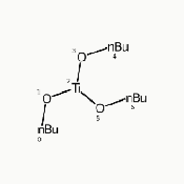 CCCC[O][Ti]([O]CCCC)[O]CCCC